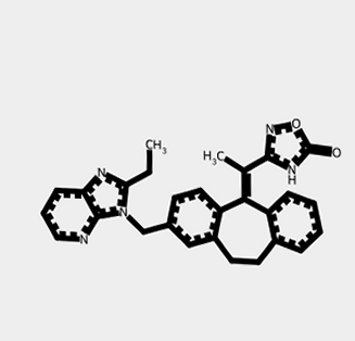 CCc1nc2cccnc2n1Cc1ccc2c(c1)CCc1ccccc1/C2=C(/C)c1noc(=O)[nH]1